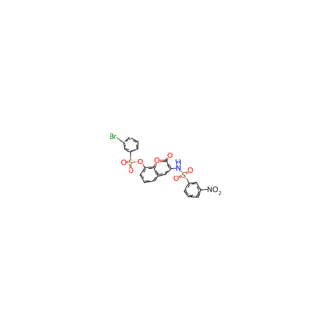 O=c1oc2c(OS(=O)(=O)c3cccc(Br)c3)cccc2cc1NS(=O)(=O)c1cccc([N+](=O)[O-])c1